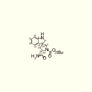 CC(C)(C)OC(=O)N1C[C@@]2(CNc3ccccc32)C[C@H]1C(N)=O